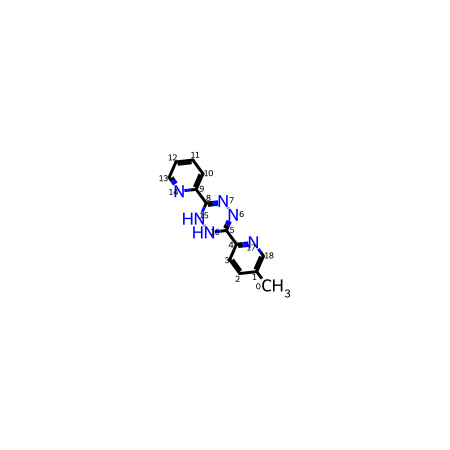 Cc1ccc(C2=NN=C(c3ccccn3)NN2)nc1